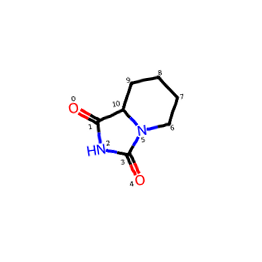 O=C1NC(=O)N2CCCC[C]12